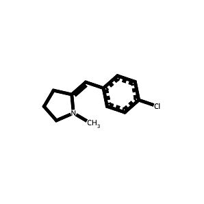 CN1CCC/C1=C/c1ccc(Cl)cc1